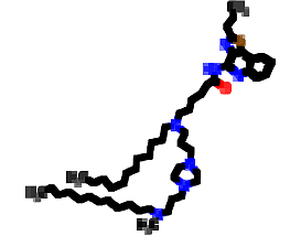 CCCCCCCCCCCCN(C)CCCN1CCN(CCCN(CCCCCCCCCCCC)CCCCCC(=O)Nc2nc3ccccc3c3sc(CCC)nc23)CC1